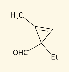 CCC1(C=O)C=C1C